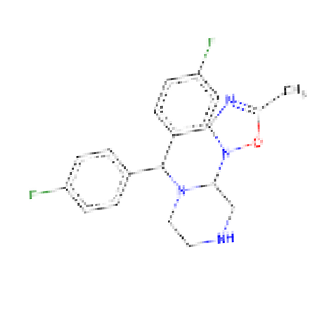 CC1=NCN(C2CNCCN2C(c2ccc(F)cc2)c2ccc(F)cc2)O1